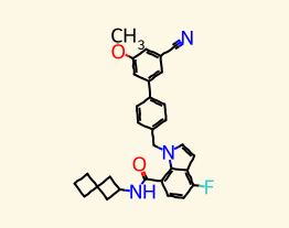 COc1cc(C#N)cc(-c2ccc(Cn3ccc4c(F)ccc(C(=O)NC5CC6(CCC6)C5)c43)cc2)c1